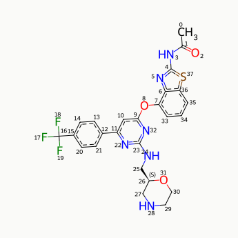 CC(=O)Nc1nc2c(Oc3cc(-c4ccc(C(F)(F)F)cc4)nc(NC[C@@H]4CNCCO4)n3)cccc2s1